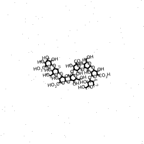 C[C@@H]1OC(CO)[C@@H](O)C(O[C@@H]2OC(C(=O)O)[C@@H](O)C(O[C@@H]3OC(CO)[C@@H](O)C(O[C@@H]4OC(C(=O)O)[C@@H](O)C(O[C@@H]5OC(CO)[C@@H](O)C(O[C@@H]6OC(C(=O)O)[C@@H](O)C(O[C@@H]7OC(CO)[C@@H](O)C(O[C@@H]8OC(C(=O)O)[C@@H](O)C(O)[C@@H]8O)[C@@H]7C)[C@@H]6O)[C@@H]5C)[C@@H]4O)[C@@H]3C)[C@@H]2O)[C@@H]1C